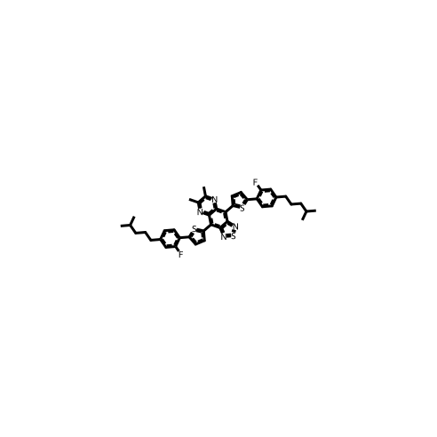 Cc1nc2c(-c3ccc(-c4ccc(CCCC(C)C)cc4F)s3)c3nsnc3c(-c3ccc(-c4ccc(CCCC(C)C)cc4F)s3)c2nc1C